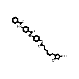 O=C(CCC/C=C\CC1=CC(O)CC1=O)Oc1ccc(NC(=O)c2ccc(NC(=O)c3ccccc3)cc2)cc1